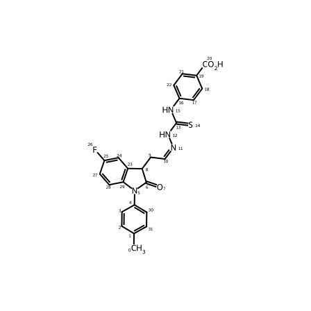 Cc1ccc(N2C(=O)C(C/C=N\NC(=S)Nc3ccc(C(=O)O)cc3)c3cc(F)ccc32)cc1